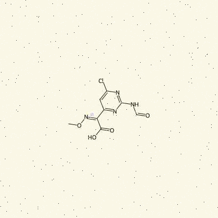 CO/N=C(\C(=O)O)c1cc(Cl)nc(NC=O)n1